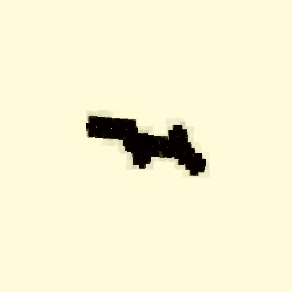 CC1(n2c3ccccc3c3cc(-c4ccc5c(c4)c4ccccc4n5-c4ccc(-c5ccccc5)cc4)ccc32)NC=CC(c2cccc(-c3ccc(-c4ccccc4)cc3)c2)N1